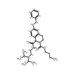 CCCCOC(=O)N1CCc2cc(OCc3ccccc3)ccc2C1C(=O)NCCN(C(C)C)C(C)C